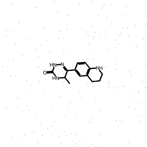 CC1NC(=O)NN=C1c1ccc2c(c1)CCCN2